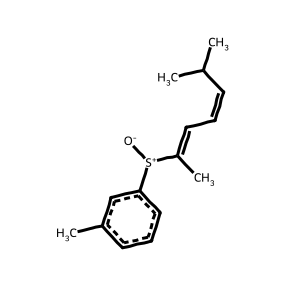 C/C(=C\C=C/C(C)C)[S+]([O-])c1cccc(C)c1